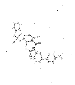 O=C(c1c(F)ccc(NS(=O)(=O)Cc2ccccc2)c1F)c1n[nH]c2ncc(-c3cnc(C4CC4)nc3)cc12